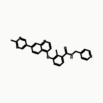 Cc1ncc(-c2ccc3c(Oc4cccc(C(=O)NCc5ccncc5)c4C)ccnc3c2)cn1